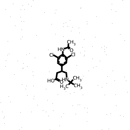 CC(=O)Nc1c(Cl)cc(C(CNC(C)(C)C)CC(=O)O)cc1Cl